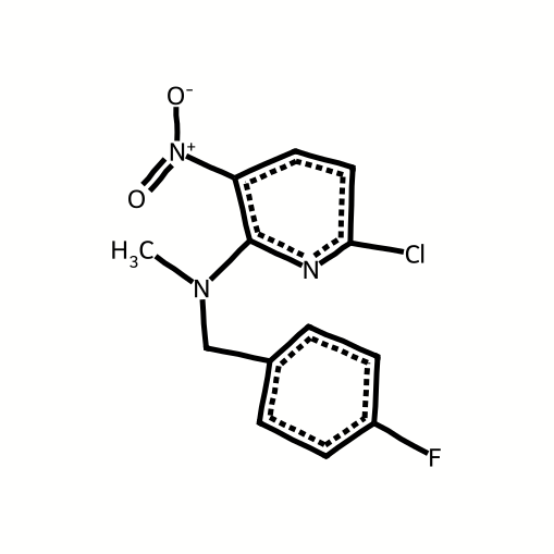 CN(Cc1ccc(F)cc1)c1nc(Cl)ccc1[N+](=O)[O-]